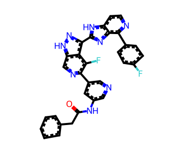 O=C(Cc1ccccc1)Nc1cncc(-c2ncc3[nH]nc(-c4nc5c(-c6ccc(F)cc6)nccc5[nH]4)c3c2F)c1